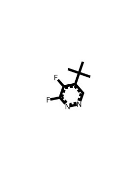 CC(C)(C)c1cnnc(F)c1F